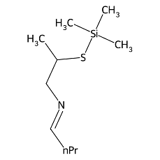 CCCC=NCC(C)S[Si](C)(C)C